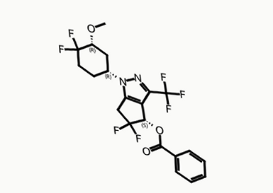 CO[C@@H]1C[C@H](n2nc(C(F)(F)F)c3c2CC(F)(F)[C@H]3OC(=O)c2ccccc2)CCC1(F)F